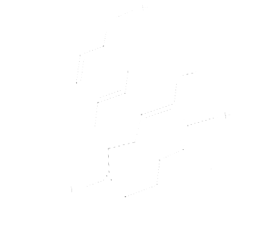 COc1cc2c(cc1O)CC1c3c(c(O)c(O)c(OC)c3-2)CCN1C